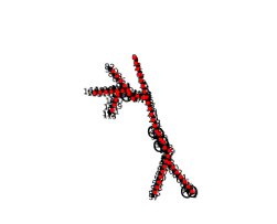 CCCCCCCCCCCCCCN(CCCCCCCCCCCC(=O)OC(C)C(C)(C)OC(=O)N1CCC(CCN(CCCCCCCCCCCCCC)CCCCCCCCCCCC(=O)OC)C1)CCC1CCN(C(=O)CN(CCCCCCCCC)CCN(CCCCCCCCC)CCCCCCCCC)C1